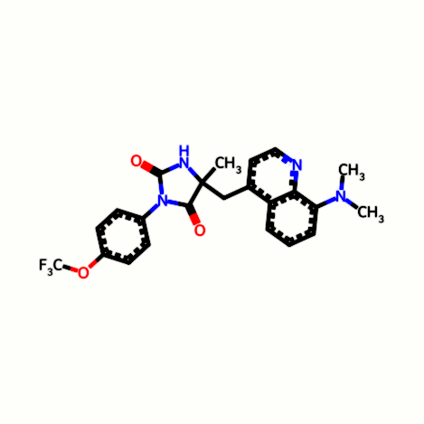 CN(C)c1cccc2c(CC3(C)NC(=O)N(c4ccc(OC(F)(F)F)cc4)C3=O)ccnc12